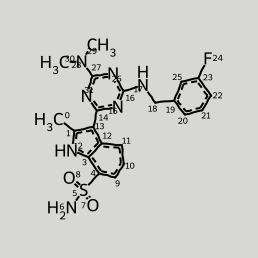 Cc1[nH]c2c(S(N)(=O)=O)cccc2c1-c1nc(NCc2cccc(F)c2)nc(N(C)C)n1